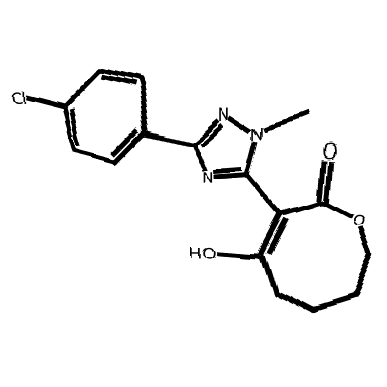 Cn1nc(-c2ccc(Cl)cc2)nc1/C1=C(\O)CCCCOC1=O